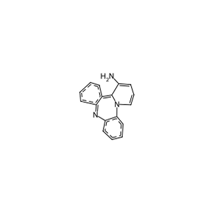 NC1=CC=CN2C1=c1ccccc1=Nc1ccccc12